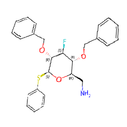 NC[C@H]1O[C@@H](Sc2ccccc2)[C@H](OCc2ccccc2)[C@@H](F)[C@@H]1OCc1ccccc1